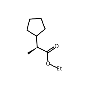 CCOC(=O)[C@@H](C)C1CCCC1